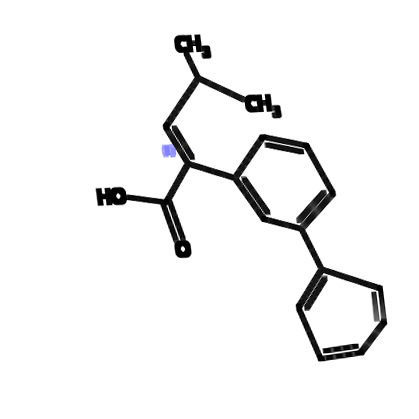 CC(C)/C=C(/C(=O)O)c1cccc(-c2ccccc2)c1